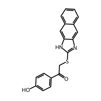 O=C(CSc1nc2cc3ccccc3cc2[nH]1)c1ccc(O)cc1